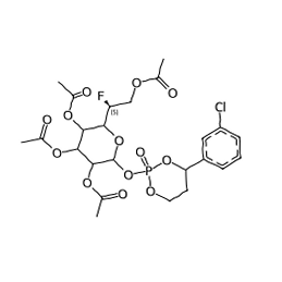 CC(=O)OC[C@H](F)C1OC(OP2(=O)OCCC(c3cccc(Cl)c3)O2)C(OC(C)=O)C(OC(C)=O)C1OC(C)=O